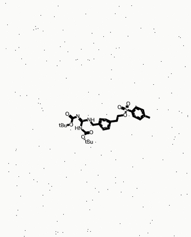 Cc1ccc(S(=O)(=O)OCCc2ccc(CNC(=NC(=O)OC(C)(C)C)NC(=O)OC(C)(C)C)cc2)cc1